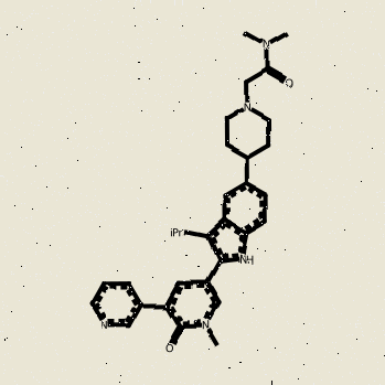 CC(C)c1c(-c2cc(-c3cccnc3)c(=O)n(C)c2)[nH]c2ccc(C3CCN(CC(=O)N(C)C)CC3)cc12